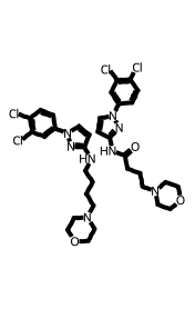 Clc1ccc(-n2ccc(NCCCCN3CCOCC3)n2)cc1Cl.O=C(CCCN1CCOCC1)Nc1ccn(-c2ccc(Cl)c(Cl)c2)n1